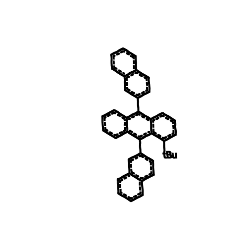 CC(C)(C)c1cccc2c(-c3ccc4ccccc4c3)c3ccccc3c(-c3ccc4ccccc4c3)c12